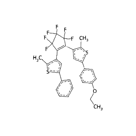 CCOc1ccc(-c2cc(C3=C(c4cc(-c5ccccc5)sc4C)C(F)(F)C(F)(F)C3(F)F)c(C)s2)cc1